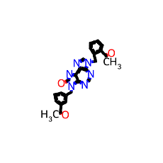 CC(=O)c1cccc(Cn2c3ncnc4c(ncn4Cc4ccccc4C(C)=O)c-3nc2=O)c1